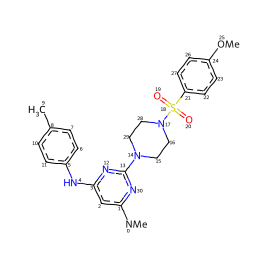 CNc1cc(Nc2ccc(C)cc2)nc(N2CCN(S(=O)(=O)c3ccc(OC)cc3)CC2)n1